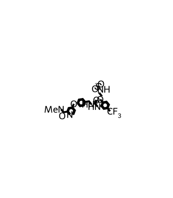 CNC(=O)c1cc(Oc2ccc(CNC(=O)Nc3cc(C(F)(F)F)ccc3OCCNS(C)(=O)=O)cc2)ccn1